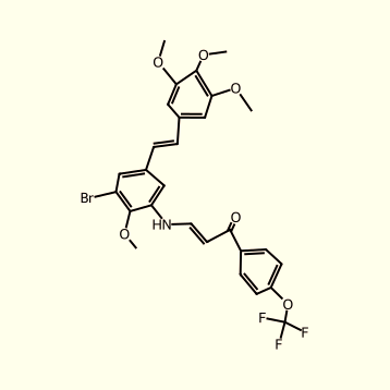 COc1cc(C=Cc2cc(Br)c(OC)c(NC=CC(=O)c3ccc(OC(F)(F)F)cc3)c2)cc(OC)c1OC